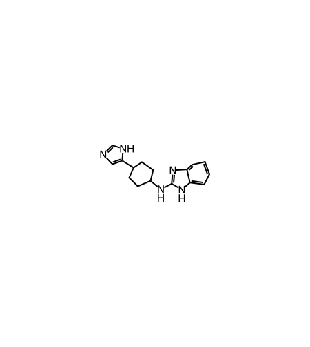 c1ccc2[nH]c(NC3CCC(c4cnc[nH]4)CC3)nc2c1